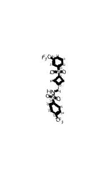 O=S(=O)(NC[C@H]1C[C@H](S(=O)(=O)c2cccc(C(F)(F)F)c2)C1)c1ccc(C(F)(F)F)cc1